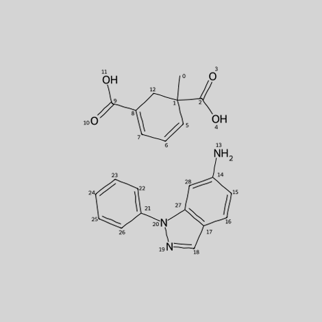 CC1(C(=O)O)C=CC=C(C(=O)O)C1.Nc1ccc2cnn(-c3ccccc3)c2c1